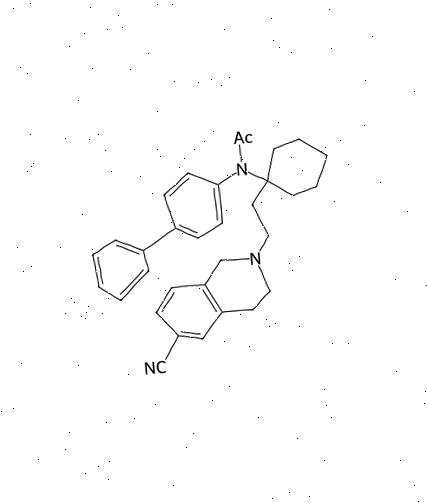 CC(=O)N(c1ccc(-c2ccccc2)cc1)C1(CCN2CCc3cc(C#N)ccc3C2)CCCCC1